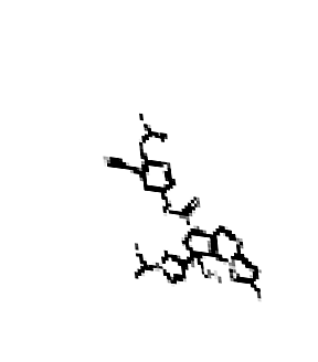 C[C@@]1(c2ccn(C(F)F)n2)C[C@H](C(=O)Nc2cnc(OC(F)F)c(C#N)c2)c2cnc3cc(F)nn3c21